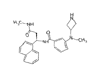 CNC(=O)C[C@@H](NC(=O)c1cccc(N(C)C2CNC2)c1)c1cccc2ccccc12